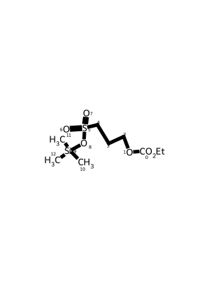 CCOC(=O)OCCCS(=O)(=O)O[Si](C)(C)C